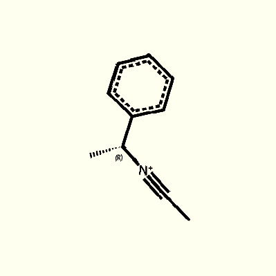 CC#[N+][C@H](C)c1ccccc1